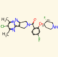 Cc1nc2c3c(nn2c(C)c1Cl)CN(C(=O)c1ccc(F)cc1O[C@@H]1CCNC[C@H]1F)C3